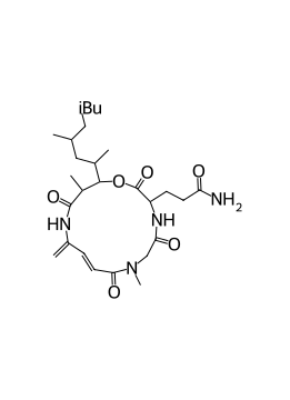 C=C1/C=C/C(=O)N(C)CC(=O)NC(CCC(N)=O)C(=O)OC(C(C)CC(C)CC(C)CC)C(C)C(=O)N1